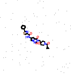 O=C(Nc1cc2c(=O)n(CC3(O)CCN(C(=O)C4CC4)CC3)cnn2c1)c1csc(-c2ccccc2)n1